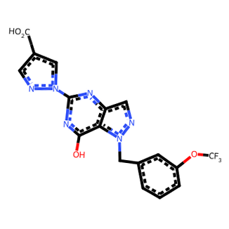 O=C(O)c1cnn(-c2nc(O)c3c(cnn3Cc3cccc(OC(F)(F)F)c3)n2)c1